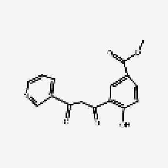 COC(=O)c1ccc(O)c(C(=O)CC(=O)c2cccnc2)c1